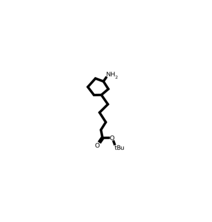 CC(C)(C)OC(=O)CCCCC1CCCC(N)C1